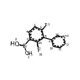 OB(O)c1ccc(F)c(-c2cccnc2)c1F